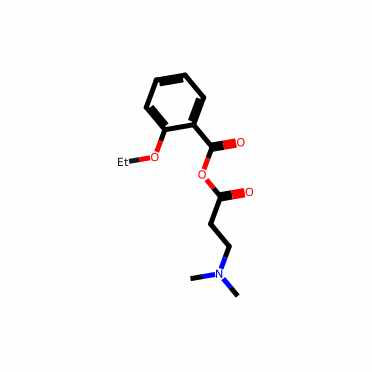 CCOc1ccccc1C(=O)OC(=O)CCN(C)C